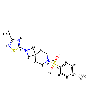 CCCCc1nsc(N2CC3(CCN(S(=O)(=O)c4ccc(OC)cc4)CC3)C2)n1